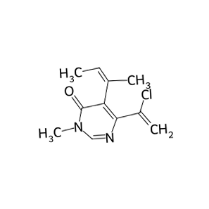 C=C(Cl)c1ncn(C)c(=O)c1/C(C)=C\C